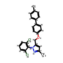 CCc1ccc(-c2ccc(OCc3cc(C(F)(F)F)nn3-c3c(Cl)cccc3Cl)cc2)cc1